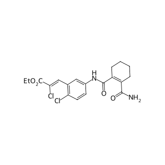 CCOC(=O)/C(Cl)=C/c1cc(NC(=O)C2=C(C(N)=O)CCCC2)ccc1Cl